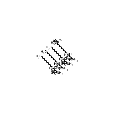 CCCCCCCCCCCCNC(=O)C(CC(N)=O)S(=O)(=O)[O-].CCCCCCCCCCCCNC(=O)C(CC(N)=O)S(=O)(=O)[O-].CCCCCCCCCCCCNC(=O)C(CC(N)=O)S(=O)(=O)[O-].CCCCCCCCCCCCNC(=O)C(CC(N)=O)S(=O)(=O)[O-].[Mg+2].[Mg+2]